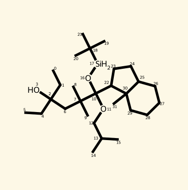 CCC(O)(CC)CC(C)(C)C(OCC(C)C)(O[SiH2]C(C)(C)C)C1CCC2CCCCC21C